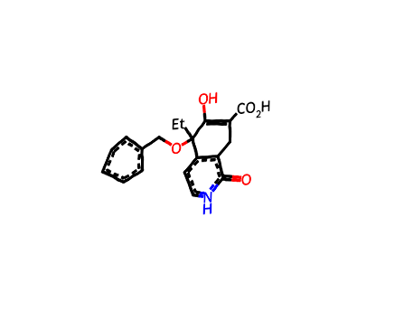 CCC1(OCc2ccccc2)C(O)=C(C(=O)O)Cc2c1cc[nH]c2=O